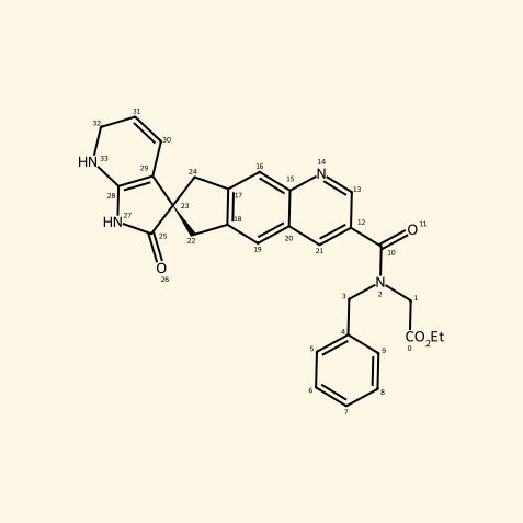 CCOC(=O)CN(Cc1ccccc1)C(=O)c1cnc2cc3c(cc2c1)C[C@@]1(C3)C(=O)NC2=C1C=CCN2